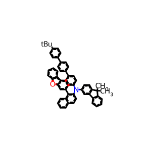 CC(C)(C)c1ccc(-c2ccc(-c3ccc(N(c4ccc5c(c4)-c4ccccc4C5(C)C)c4ccc5ccccc5c4-c4ccc5c(c4)oc4ccccc45)cc3)cc2)cc1